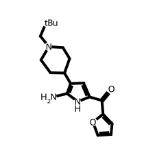 CC(C)(C)CN1CCC(c2cc(C(=O)c3ccco3)[nH]c2N)CC1